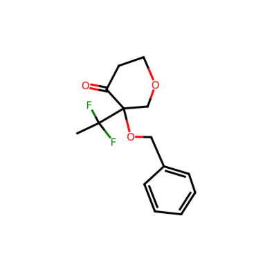 CC(F)(F)C1(OCc2ccccc2)COCCC1=O